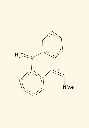 C=C(c1ccccc1)c1ccccc1/C=C\NC